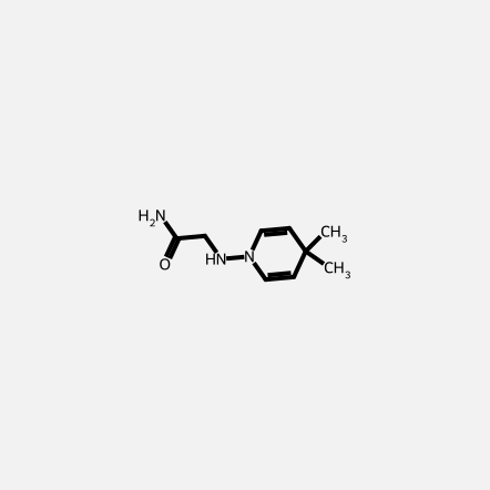 CC1(C)C=CN(NCC(N)=O)C=C1